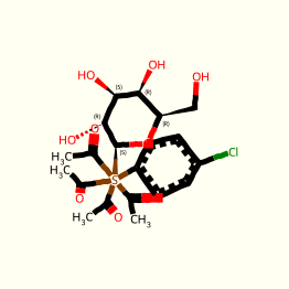 CC(=O)S(C(C)=O)(C(C)=O)(C(C)=O)(c1ccc(Cl)cc1)[C@@H]1O[C@H](CO)[C@H](O)[C@H](O)[C@H]1O